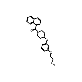 COCCOc1cccc(OC2CCN(C(=O)c3cccc4cccnc34)CC2)c1